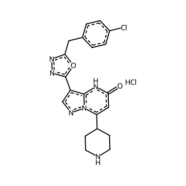 Cl.O=c1cc(C2CCNCC2)n2ncc(-c3nnc(Cc4ccc(Cl)cc4)o3)c2[nH]1